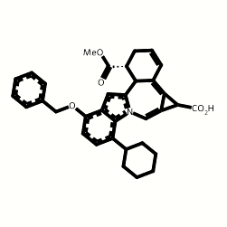 COC(=O)[C@@H]1CC=CC2=C3C(=Cn4c(cc5c(OCc6ccccc6)ccc(C6CCCCC6)c54)C21)C3C(=O)O